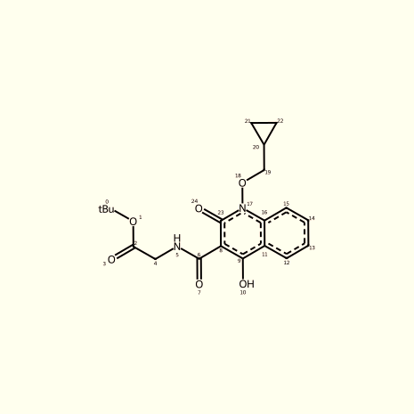 CC(C)(C)OC(=O)CNC(=O)c1c(O)c2ccccc2n(OCC2CC2)c1=O